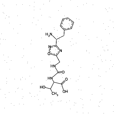 CC(O)C(NC(=O)NCc1nc(C(N)Cc2ccccc2)no1)C(=O)O